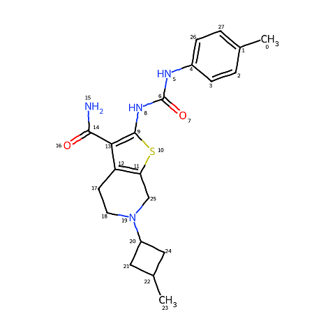 Cc1ccc(NC(=O)Nc2sc3c(c2C(N)=O)CCN(C2CC(C)C2)C3)cc1